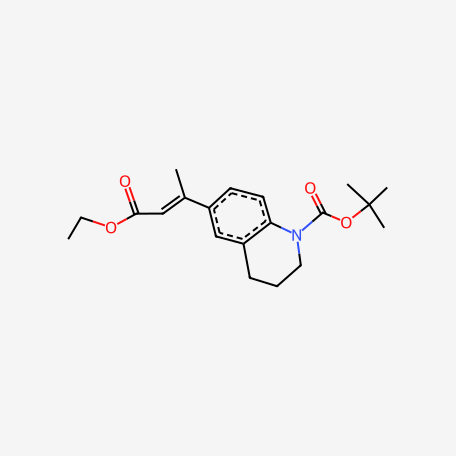 CCOC(=O)C=C(C)c1ccc2c(c1)CCCN2C(=O)OC(C)(C)C